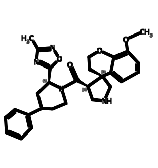 COc1cccc2c1OCC[C@]21CNC[C@H]1C(=O)N1CCC(c2ccccc2)C[C@H]1c1nc(C)no1